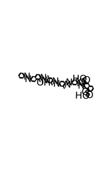 Cc1cc(N=Nc2cc(C)c(N=Nc3ccc4cc(N=Nc5ccccc5)ccc4c3O)cc2C)ccc1N=Nc1ccc(N=Nc2cc3c(S(=O)(=O)O)cccc3cc2S(=O)(=O)O)c(C)c1